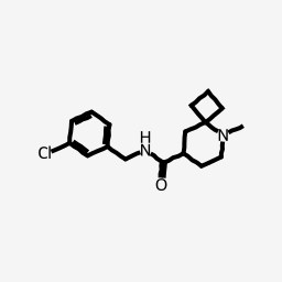 CN1CCC(C(=O)NCc2cccc(Cl)c2)CC12CCC2